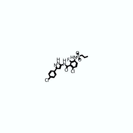 CCCS(=O)(=O)Nc1ccc(Cl)c(C(=O)Nc2cc(-c3ccc(Cl)cc3)n[nH]2)c1F